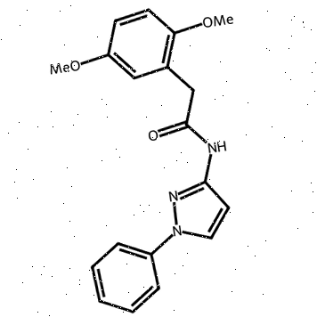 COc1ccc(OC)c(CC(=O)Nc2ccn(-c3ccccc3)n2)c1